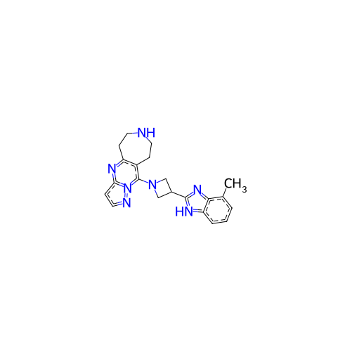 Cc1cccc2[nH]c(C3CN(c4c5c(nc6ccnn46)CCNCC5)C3)nc12